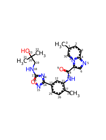 Cc1ccc2ncc(C(=O)Nc3cc(-c4noc(NCC(C)(C)O)n4)ccc3C)n2c1